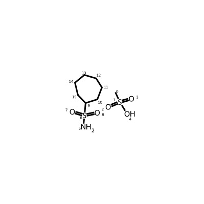 CS(=O)(=O)O.NS(=O)(=O)C1CCCCCC1